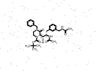 CC(=O)NCc1cccc(C[C@H](NC(C)=O)[C@H](O)[C@H]2C(=O)N(Cc3ccccc3)CCN2C(=O)OC(C)(C)C)c1